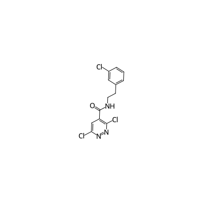 O=C(NCCc1cccc(Cl)c1)c1cc(Cl)nnc1Cl